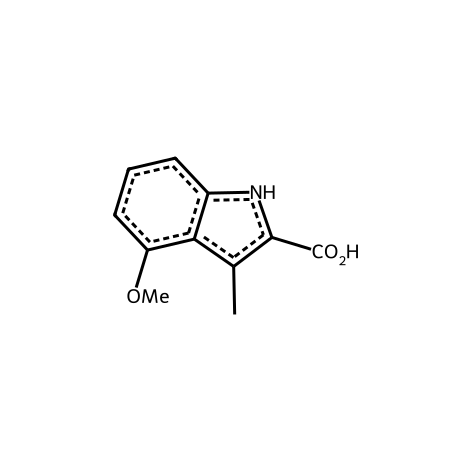 COc1cccc2[nH]c(C(=O)O)c(C)c12